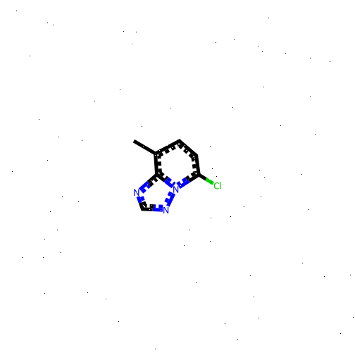 Cc1ccc(Cl)n2ncnc12